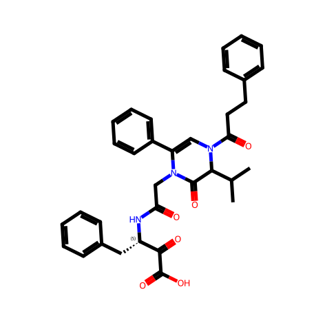 CC(C)C1C(=O)N(CC(=O)N[C@@H](Cc2ccccc2)C(=O)C(=O)O)C(c2ccccc2)=CN1C(=O)CCc1ccccc1